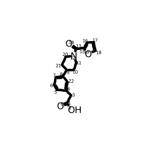 O=C(O)Cc1cccc(C2CCN(C(=O)c3ccco3)CC2)c1